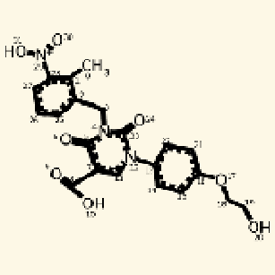 Cc1c(Cn2c(=O)c(C(=O)O)cn(-c3ccc(OCCO)cc3)c2=O)cccc1[N+](=O)O